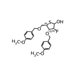 COc1ccc(COC[C@H]2SC(O)[C@@H](F)[C@@H]2OCc2ccc(OC)cc2)cc1